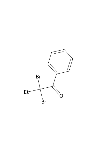 CCC(Br)(Br)C(=O)c1ccccc1